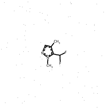 Cc1cnn(C)c1C(F)F